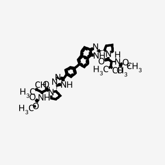 COC(=O)NC(C(=O)N1CCC[C@H]1c1nnc(-c2ccc(-c3ccc4c(ccc5nc([C@@H]6CCCN6C(=O)[C@@H](NC(=O)OC)C(C)C)[nH]c54)c3)cc2)[nH]1)C(C)C